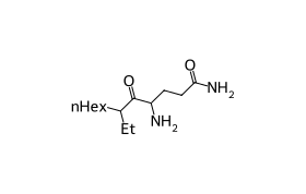 CCCCCCC(CC)C(=O)C(N)CCC(N)=O